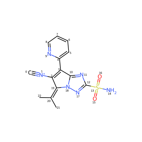 [C-]#[N+]c1c(-c2ccccn2)c2nc(S(N)(=O)=O)nn2c1=C(C)C